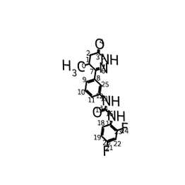 CC1CC(=O)NN=C1c1cccc(NC(=O)Nc2ccc(F)cc2F)c1